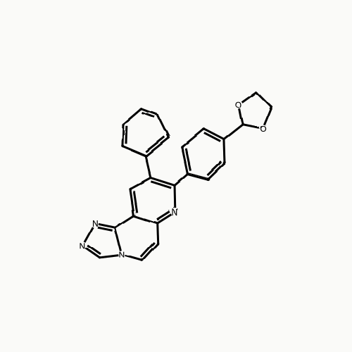 c1ccc(-c2cc3c(ccn4cnnc34)nc2-c2ccc(C3OCCO3)cc2)cc1